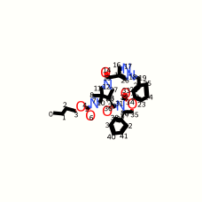 CCCCOC(=O)N1CC2(C1)CN(C(=O)c1cnn(Cc3ccccc3)c1)C[C@H]2C(=O)N1C(=O)OC[C@H]1c1ccccc1